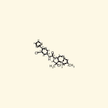 Cc1cc2ncc3c(n2n1)C(C)(C(F)(F)F)CN3C(=O)Nc1cnc(-n2nccn2)c(Cl)c1